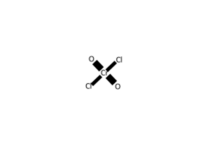 [O]=[Cr](=[O])([Cl])[Cl]